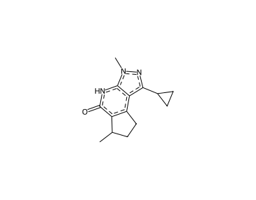 CC1CCc2c1c(=O)[nH]c1c2c(C2CC2)nn1C